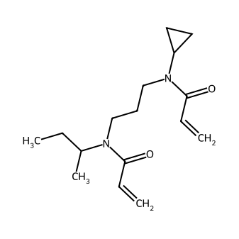 C=CC(=O)N(CCCN(C(=O)C=C)C1CC1)C(C)CC